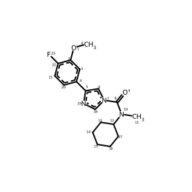 COc1cc(-c2cn(C(=O)N(C)C3CCCCC3)cn2)ccc1F